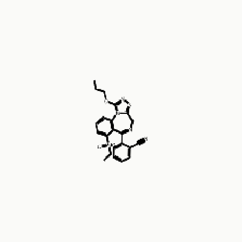 CCCOc1nnc2n1-c1cccc(S(=O)(=O)CC)c1C(c1ccccc1C#N)=NC2